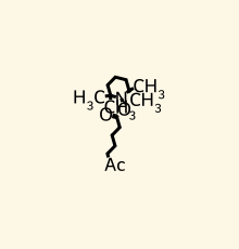 CC(=O)CCCCC(=O)ON1C(C)(C)CCCC1(C)C